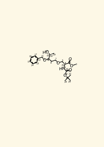 COC(=O)[C@H](COCC[C@@H](OCc1ccccc1)[C@H](C)O)NC(=O)OC(C)(C)C